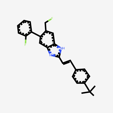 CC(C)(C)c1ccc(/C=C/c2nc3cc(-c4ccccc4F)c(CF)cc3[nH]2)cc1